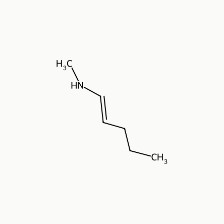 CCC/C=C/NC